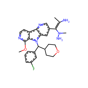 COc1nccc2c3ncc(/C(=C(\C)N)N(C)N)cc3n(C(c3cccc(F)c3)C3CCOCC3)c12